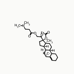 CCC(=O)O[C@]1(C(=O)COC(=O)CCN(C)C)CC[C@H]2[C@@H]3CCC4=CCCC[C@]4(C)[C@H]3CC[C@@]21C